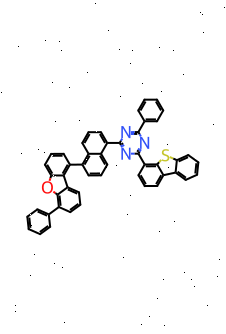 c1ccc(-c2nc(-c3cccc4c(-c5cccc6oc7c(-c8ccccc8)cccc7c56)cccc34)nc(-c3cccc4c3sc3ccccc34)n2)cc1